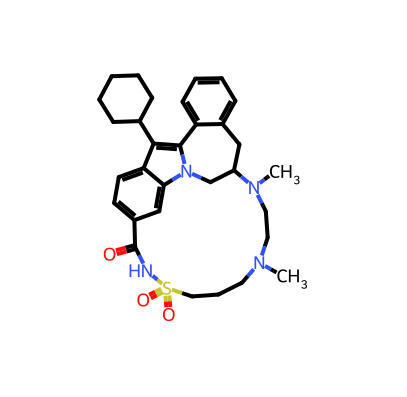 CN1CCCS(=O)(=O)NC(=O)c2ccc3c(C4CCCCC4)c4n(c3c2)CC(Cc2ccccc2-4)N(C)CC1